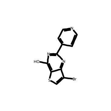 Oc1nc(-c2ccncc2)nc2c(Br)csc12